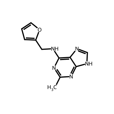 Cc1nc(NCc2ccco2)c2nc[nH]c2n1